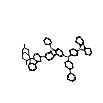 CC1CC2CC(C)C3(c4ccccc4-c4cc(-c5ccc6c7cc(N(c8ccc(-c9ccccc9)cc8)c8ccc(-n9c%10ccccc%10c%10ccccc%109)cc8)ccc7n(-c7ccccc7)c6c5)ccc43)C(C1)C2